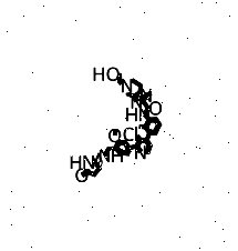 COc1cc(-c2nccc(-c3cccc(NC(=O)c4nc5c(n4C)CCN(CCO)C5)c3C)c2Cl)ccc1CNC[C@@H]1CCC(=O)N1